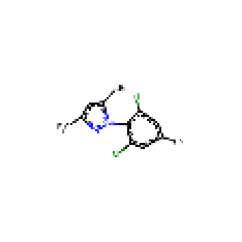 CC(C)(C)c1cc(C(F)(F)F)nn1-c1c(Cl)cc(C#N)cc1Cl